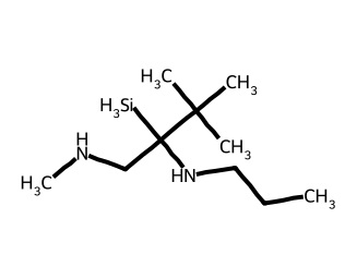 CCCNC([SiH3])(CNC)C(C)(C)C